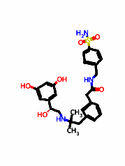 CC(C)(Cc1cccc(CC(=O)NCc2ccc(S(N)(=O)=O)cc2)c1)NC[C@H](O)c1cc(O)cc(O)c1